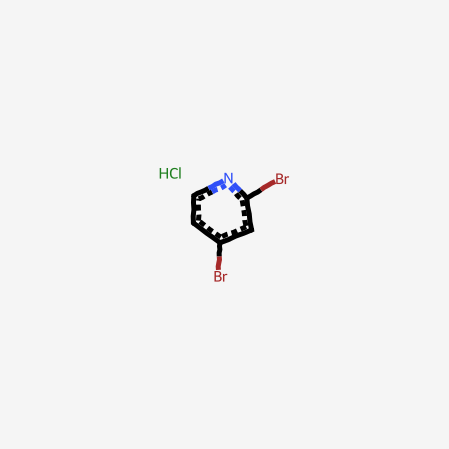 Brc1ccnc(Br)c1.Cl